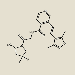 Cc1noc(C)c1C=Cc1cnccc1C(=O)NCC(=O)N1CC(F)(F)CC1C#N